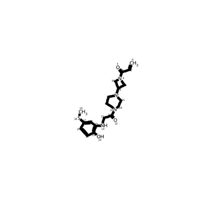 C=CC(=O)N1CC(N2CCN(C(=O)CNc3cc(SC)ccc3O)CC2)C1